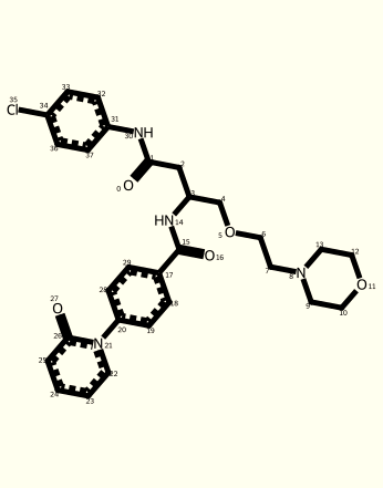 O=C(CC(COCCN1CCOCC1)NC(=O)c1ccc(-n2ccccc2=O)cc1)Nc1ccc(Cl)cc1